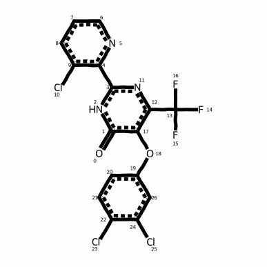 O=c1[nH]c(-c2ncccc2Cl)nc(C(F)(F)F)c1Oc1ccc(Cl)c(Cl)c1